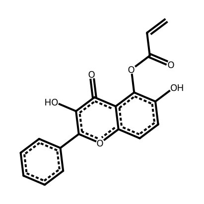 C=CC(=O)Oc1c(O)ccc2oc(-c3ccccc3)c(O)c(=O)c12